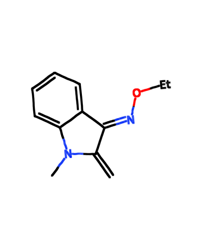 C=C1/C(=N/OCC)c2ccccc2N1C